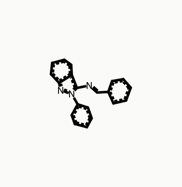 C(=Nc1c2ccccc2nn1-c1ccccc1)c1ccccc1